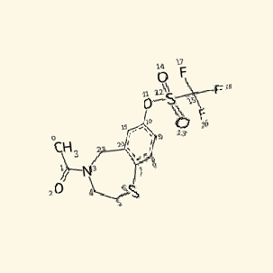 CC(=O)N1CCSc2ccc(OS(=O)(=O)C(F)(F)F)cc2C1